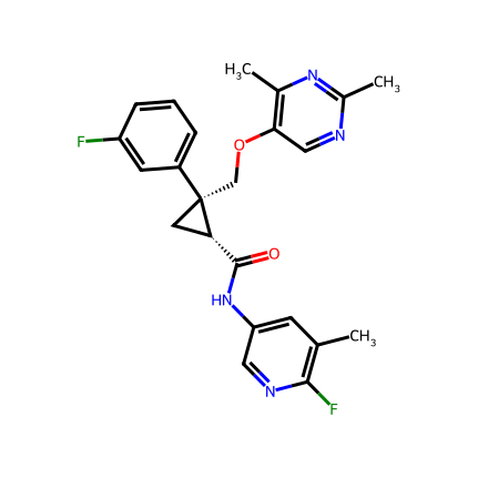 Cc1ncc(OC[C@@]2(c3cccc(F)c3)C[C@H]2C(=O)Nc2cnc(F)c(C)c2)c(C)n1